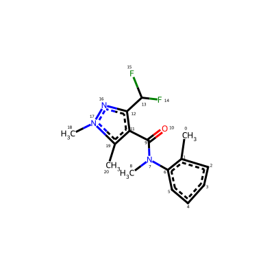 Cc1ccccc1N(C)C(=O)c1c(C(F)F)nn(C)c1C